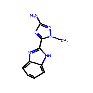 Cn1nc(N)nc1-c1nc2ccccc2[nH]1